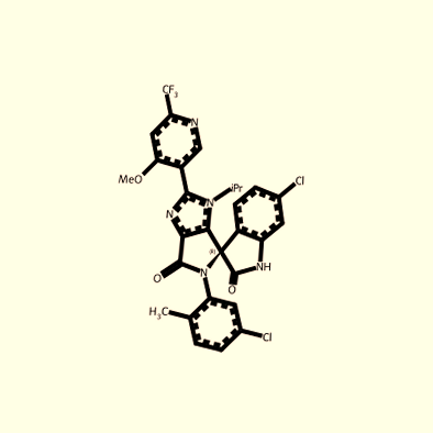 COc1cc(C(F)(F)F)ncc1-c1nc2c(n1C(C)C)[C@]1(C(=O)Nc3cc(Cl)ccc31)N(c1cc(Cl)ccc1C)C2=O